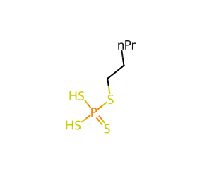 CCCCCSP(=S)(S)S